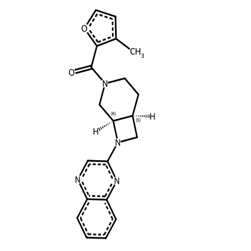 Cc1ccoc1C(=O)N1CC[C@H]2CN(c3cnc4ccccc4n3)[C@H]2C1